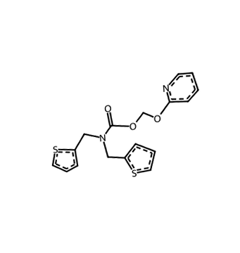 O=C(OCOc1ccccn1)N(Cc1cccs1)Cc1cccs1